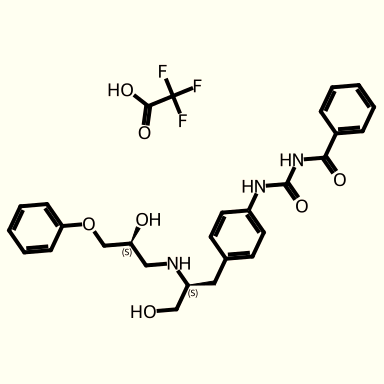 O=C(NC(=O)c1ccccc1)Nc1ccc(C[C@@H](CO)NC[C@H](O)COc2ccccc2)cc1.O=C(O)C(F)(F)F